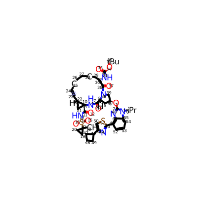 CC(C)n1c(O[C@@H]2C[C@H]3C(=O)N[C@]4(C(=O)NS(=O)(=O)C5(C)CC5)C[C@@H]4/C=C\CCCCC[C@H](NC(=O)OC(C)(C)C)C(=O)N3C2)nc2c(-c3nc(C4CCC4)cs3)cccc21